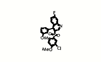 COc1cccc(-c2c(S(=O)(=O)c3ccc(OC)c(Cl)c3)cnc3cc(F)ccc23)c1